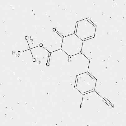 CC(C)(C)OC(=O)C1NN(Cc2ccc(F)c(C#N)c2)c2ccccc2C1=O